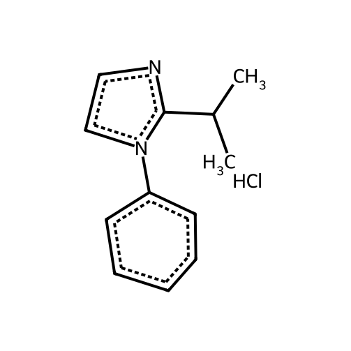 CC(C)c1nccn1-c1ccccc1.Cl